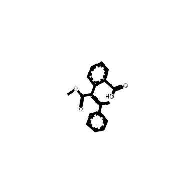 COC(=O)C(=C(C)c1ccccc1)c1ccccc1C(=O)O